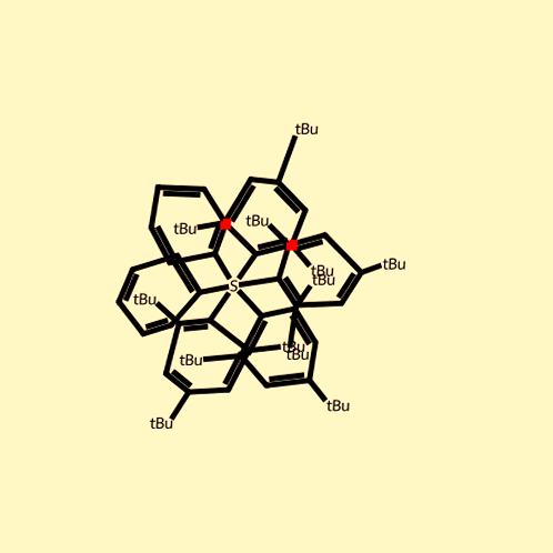 CC(C)(C)c1cc(C(C)(C)C)c(S(c2ccccc2)(c2ccccc2)(c2c(C(C)(C)C)cc(C(C)(C)C)cc2C(C)(C)C)(c2c(C(C)(C)C)cc(C(C)(C)C)cc2C(C)(C)C)c2c(C(C)(C)C)cc(C(C)(C)C)cc2C(C)(C)C)c(C(C)(C)C)c1